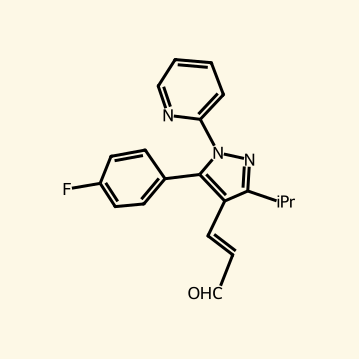 CC(C)c1nn(-c2ccccn2)c(-c2ccc(F)cc2)c1C=CC=O